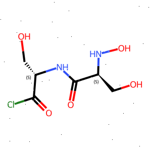 O=C(Cl)[C@H](CO)NC(=O)[C@H](CO)NO